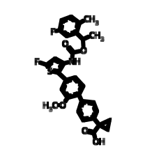 COc1cc(-c2sc(F)cc2NC(=O)OC(C)c2cc(F)ccc2C)ccc1-c1ccc(C2(C(=O)O)CC2)cc1